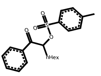 CCCCCCC(OS(=O)(=O)c1ccc(C)cc1)C(=O)c1ccccc1